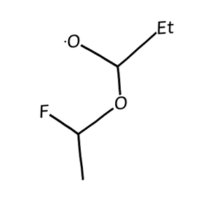 CCC([O])OC(C)F